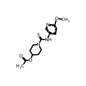 COc1ccc(NC(=S)N2CCC(OC(C)=O)CC2)cn1